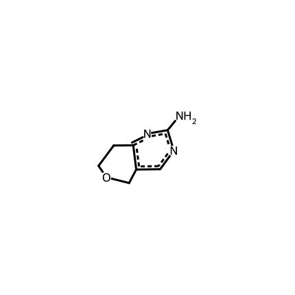 Nc1ncc2c(n1)CCOC2